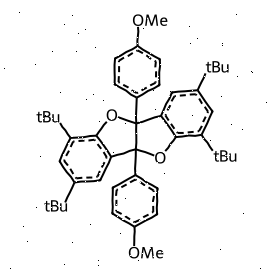 COc1ccc(C23Oc4c(C(C)(C)C)cc(C(C)(C)C)cc4C2(c2ccc(OC)cc2)Oc2c(C(C)(C)C)cc(C(C)(C)C)cc23)cc1